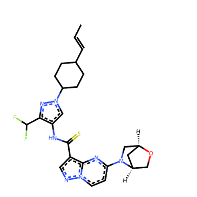 C/C=C/C1CCC(n2cc(NC(=S)c3cnn4ccc(N5C[C@@H]6C[C@H]5CO6)nc34)c(C(F)F)n2)CC1